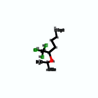 CCCCCCCCCCC(OC(C)OC)[Si](Cl)(Cl)Cl